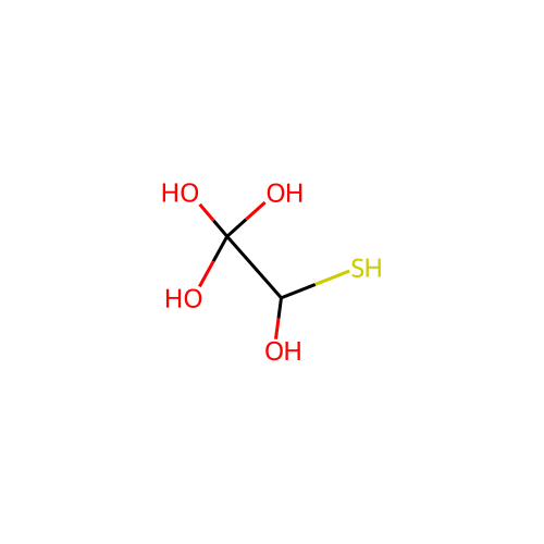 OC(S)C(O)(O)O